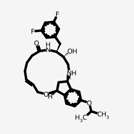 CC(C)Oc1ccc2c(c1)[C@@H]1C[C@H]2OC/C=C/CCCC(=O)N[C@@H](Cc2cc(F)cc(F)c2)[C@H](O)CN1